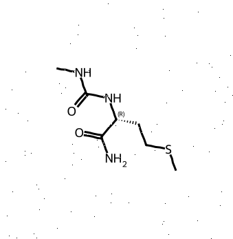 CNC(=O)N[C@H](CCSC)C(N)=O